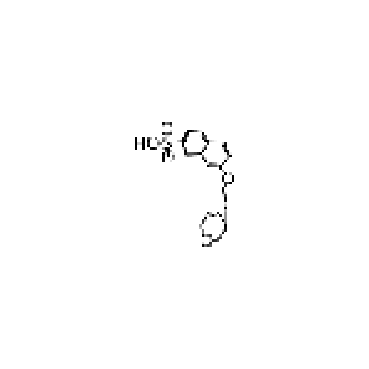 O=S(=O)(O)c1ccc2ccc(OCCN3CCOCC3)cc2c1